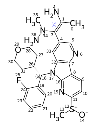 C/C(N)=C(\c1cnc2c3ccc([S+](C)[O-])nc3n([C@H](c3ccccc3F)C3CCOCC3)c2c1)N(C)N